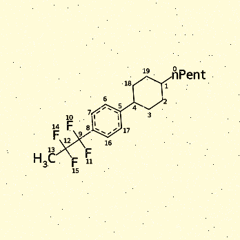 CCCCCC1CCC(c2ccc(C(F)(F)C(C)(F)F)cc2)CC1